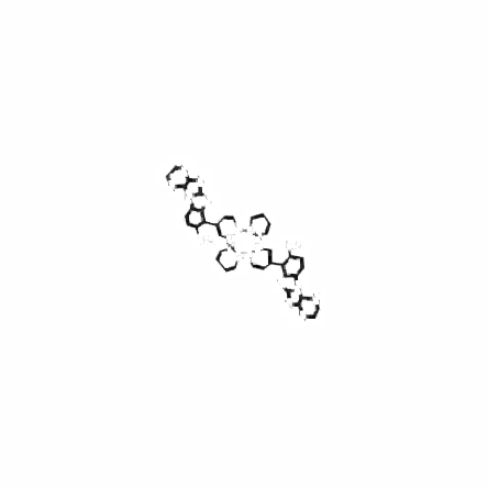 CC(C)(C)c1ccc2c(sc3nc4nccnc4n32)c1C1=CB2N3C=CC=CB3N3C=CC(c4c(C(C)(C)C)ccc5c4sc4nc6nccnc6n45)=CB3N3C=CC=CB3N2C=C1